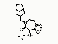 CNC1C(=O)N(CC2CC3CCC(C3)C2)CCc2ncoc21